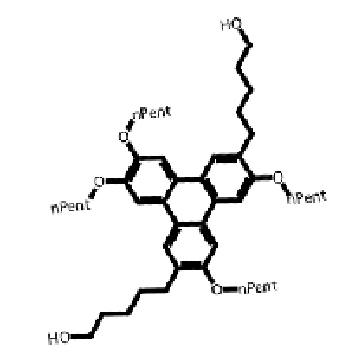 CCCCCOc1cc2c(cc1CCCCCO)c1cc(OCCCCC)c(OCCCCC)cc1c1cc(CCCCCO)c(OCCCCC)cc12